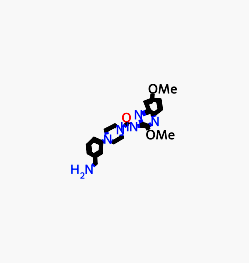 COc1ccc2nc(OC)c(NC(=O)N3CCN(c4cccc(CN)c4)CC3)nc2c1